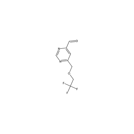 O=Cc1cc(COCC(F)(F)F)ncn1